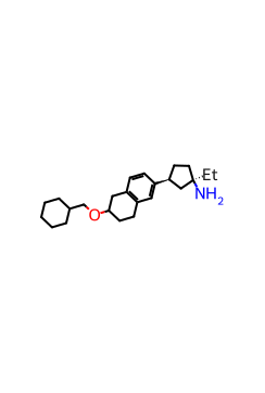 CC[C@@]1(N)CC[C@H](c2ccc3c(c2)CCC(OCC2CCCCC2)C3)C1